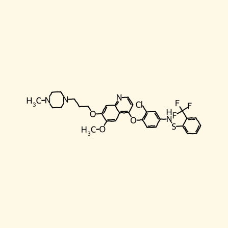 COc1cc2c(Oc3ccc(NSc4ccccc4C(F)(F)F)cc3Cl)ccnc2cc1OCCCN1CCN(C)CC1